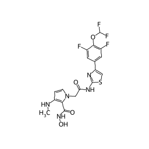 CNc1ccn(CC(=O)Nc2nc(-c3cc(F)c(OC(F)F)c(F)c3)cs2)c1C(=O)NO